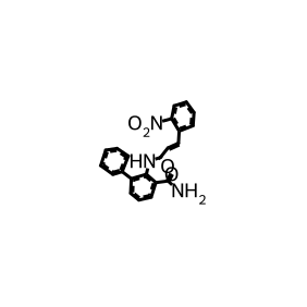 NC(=O)c1cccc(-c2ccccc2)c1NC(=O)C=Cc1ccccc1[N+](=O)[O-]